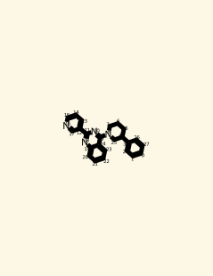 c1ccc(C2CCCN(c3nc(-c4cccnc4)nc4ccccc34)C2)cc1